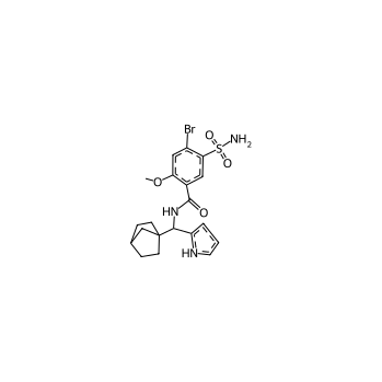 COc1cc(Br)c(S(N)(=O)=O)cc1C(=O)NC(c1ccc[nH]1)C12CCC(CC1)C2